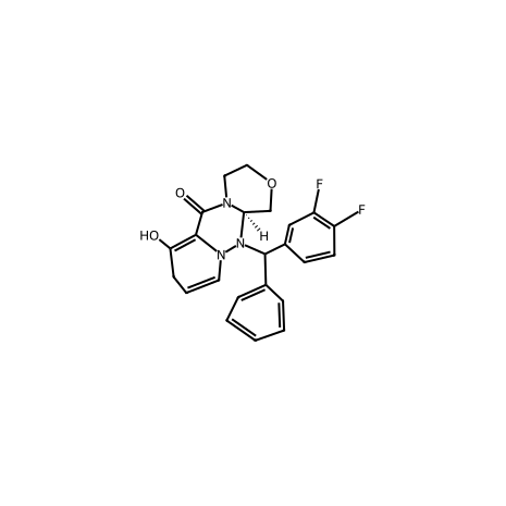 O=C1C2=C(O)CC=CN2N(C(c2ccccc2)c2ccc(F)c(F)c2)[C@@H]2COCCN12